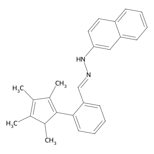 CC1=C(C)C(C)C(c2ccccc2C=NNc2ccc3ccccc3c2)=C1C